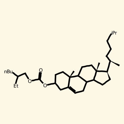 CCCCC(CC)COC(=O)OC1CC[C@@]2(C)C(=CCC3C2CC[C@@]2(C)C3CC[C@@H]2[C@H](C)CCCC(C)C)C1